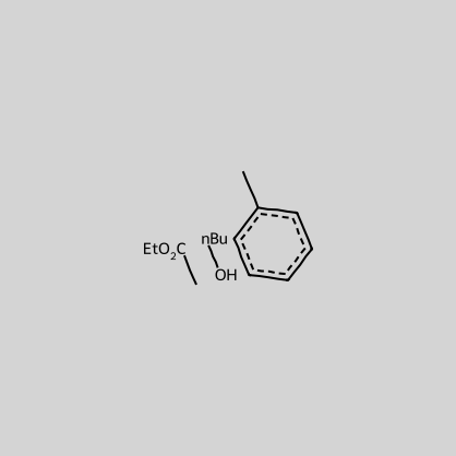 CCCCO.CCOC(C)=O.Cc1ccccc1